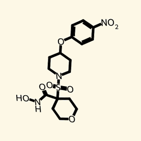 O=C(NO)C1(S(=O)(=O)N2CCC(Oc3ccc([N+](=O)[O-])cc3)CC2)CCOCC1